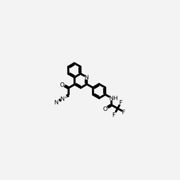 [N-]=[N+]=CC(=O)c1cc(-c2ccc(NC(=O)C(F)(F)F)cc2)nc2ccccc12